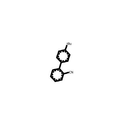 CC(C)(C)c1ccc(-c2ccc[c]c2C#N)cc1